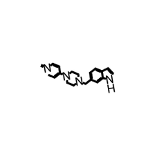 C=N/C=C\C(=C/C)N1CCN(Cc2ccc3cc[nH]c3c2)CC1